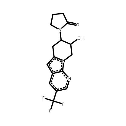 O=C1CCCN1C1Cc2cc3cc(C(F)(F)F)cnc3n2CC1O